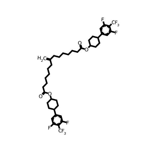 C=C(CCCCCCC(=O)OC1CCC(c2cc(F)c(C(F)(F)F)c(F)c2)CC1)CCCCCCC(=O)OC1CCC(c2cc(F)c(C(F)(F)F)c(F)c2)CC1